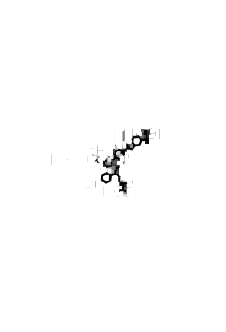 CCOC(=O)CO[C@H]1C[C@@H](C(=O)N(CCC(=O)N(C)C)c2ccc(Br)cc2)N(C(=O)C(NC(=O)c2cc3cc(C(F)(F)P(=O)(O)O)ccc3s2)C(C)(C)C)C1